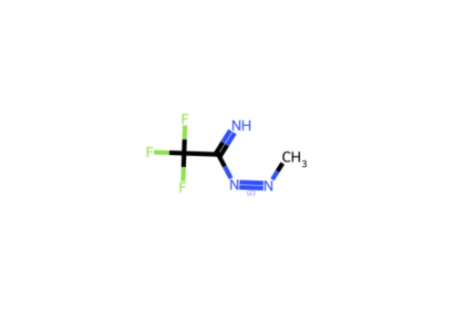 C/N=N\C(=N)C(F)(F)F